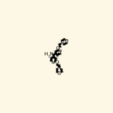 NC(c1ccnc(OCCN2CCOCC2)c1)c1ccnc(OCCN2CCOCC2)c1